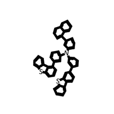 c1cc(-c2ccc3c(c2)sc2ccccc23)cc(N(c2cccc(-c3cccc4ccccc34)c2)c2cccc(-c3cccc4sc5ccccc5c34)c2)c1